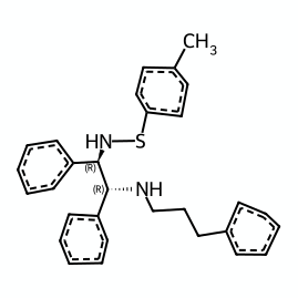 Cc1ccc(SN[C@H](c2ccccc2)[C@H](NCCCc2ccccc2)c2ccccc2)cc1